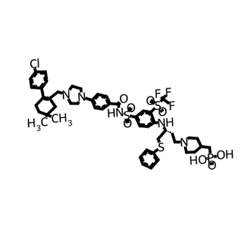 CC1(C)CCC(c2ccc(Cl)cc2)=C(CN2CCN(c3ccc(C(=O)NS(=O)(=O)c4ccc(N[C@H](CCN5CCC(CP(=O)(O)O)CC5)CSc5ccccc5)c(S(=O)(=O)C(F)(F)F)c4)cc3)CC2)C1